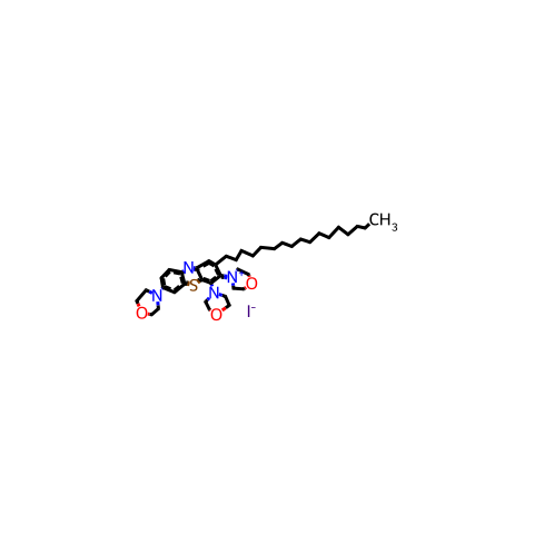 CCCCCCCCCCCCCCCCCc1cc2nc3ccc(N4CCOCC4)cc3sc-2c(N2CCOCC2)c1=[N+]1CCOCC1.[I-]